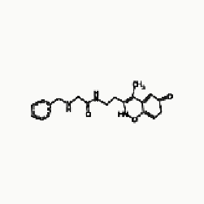 CC1=C(CCNC(=O)CNCc2ccccc2)NOC2=CCC(=O)C=C21